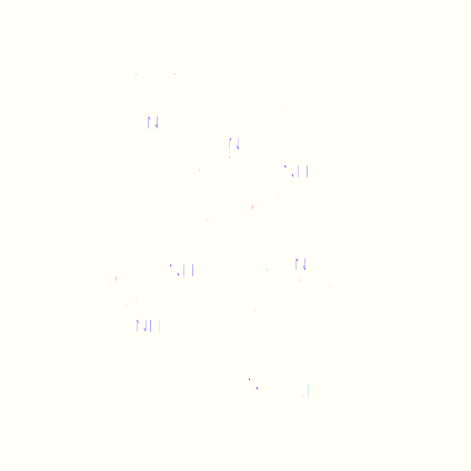 CNC(=O)Nc1ccc(N2CCCC2c2csc(NC(=O)c3cccn3Cc3ccnc(F)c3)n2)cc1